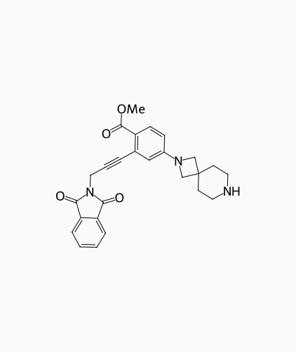 COC(=O)c1ccc(N2CC3(CCNCC3)C2)cc1C#CCN1C(=O)c2ccccc2C1=O